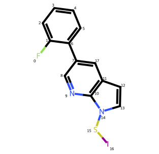 Fc1ccccc1-c1cnc2c(ccn2SI)c1